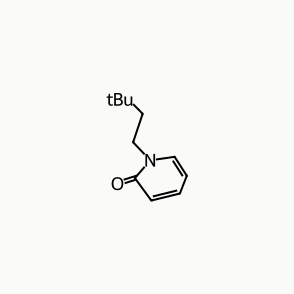 CC(C)(C)CCn1ccccc1=O